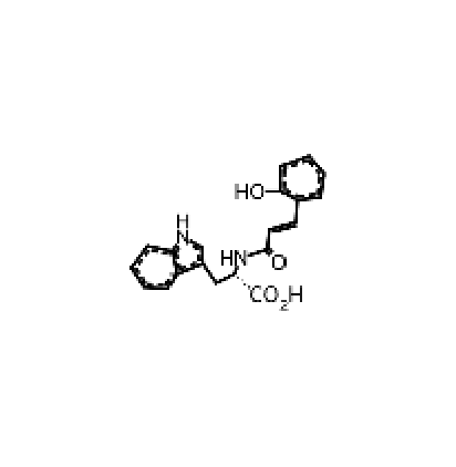 O=C(/C=C/c1ccccc1O)N[C@@H](Cc1c[nH]c2ccccc12)C(=O)O